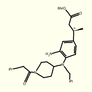 COC(=O)C[C@@H](C)c1ccc(N(CC(C)C)C2CCN(C(=O)CC(C)C)CC2)c(N)c1